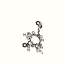 C=C(O)CC1NC(=O)CNC(=O)C(CCCCn2cc[n+]3ccccc23)NC(=O)C(C(C)C)N(C)C(=O)C(Cc2c[nH]c3ccccc23)NC1=O